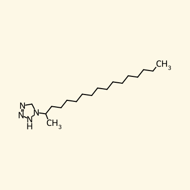 CCCCCCCCCCCCCCCC(C)N1CN=NN1